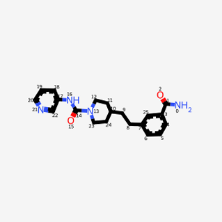 NC(=O)c1cccc(CCC2CCN(C(=O)Nc3cccnc3)CC2)c1